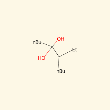 CCCCC(CC)C(O)(O)CCCC